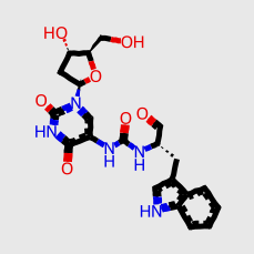 O=C[C@H](Cc1c[nH]c2ccccc12)NC(=O)Nc1cn([C@H]2C[C@H](O)[C@@H](CO)O2)c(=O)[nH]c1=O